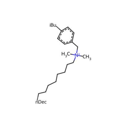 CCCCCCCCCCCCCCCCCC[N+](C)(C)Cc1ccc(C(C)CC)cc1